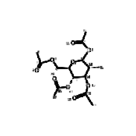 CC(=O)OC[C@H]1OC(OC(C)=O)[C@H](C)[C@@H](OC(C)=O)[C@@H]1OC(C)=O